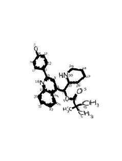 CC(C)(C)C(=O)OC(c1cc(-c2ccc(Cl)cc2)nc2ccccc12)C1CCCCN1